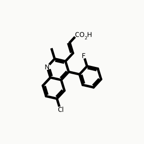 Cc1nc2ccc(Cl)cc2c(-c2ccccc2F)c1C=CC(=O)O